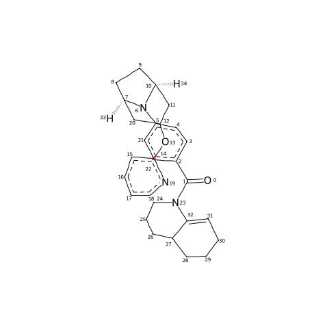 O=C(c1ccc(N2[C@@H]3CC[C@H]2CC(Oc2ccccn2)C3)cc1)N1CCCC2CCCC=C21